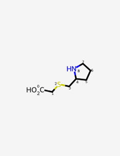 O=C(O)CSCC1CCCN1